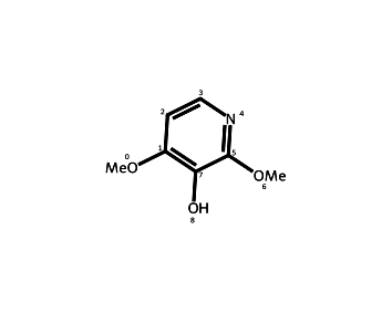 COc1ccnc(OC)c1O